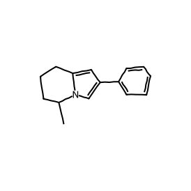 CC1CCCc2cc(-c3ccccc3)cn21